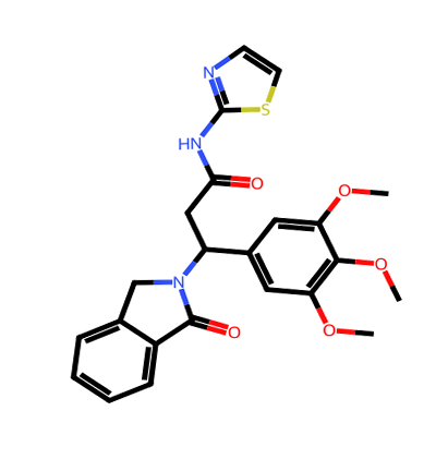 COc1cc(C(CC(=O)Nc2nccs2)N2Cc3ccccc3C2=O)cc(OC)c1OC